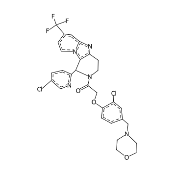 O=C(COc1ccc(CN2CCOCC2)cc1Cl)N1CCc2nc3cc(C(F)(F)F)ccn3c2C1c1ccc(Cl)cn1